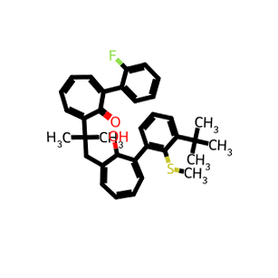 CSc1c(C2=CC=CC=C(CC(C)(C)c3ccccc(-c4ccccc4F)c3=O)C2O)cccc1C(C)(C)C